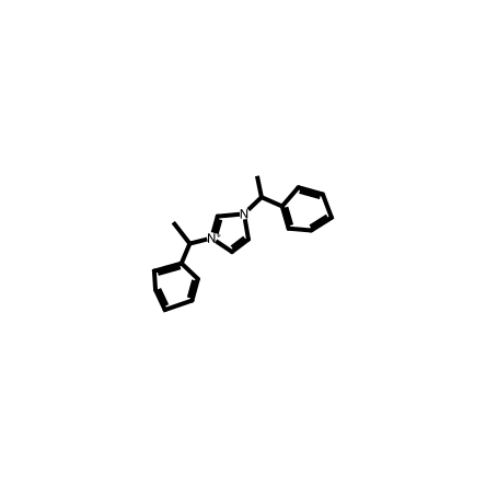 CC(c1ccccc1)n1cc[n+](C(C)c2ccccc2)c1